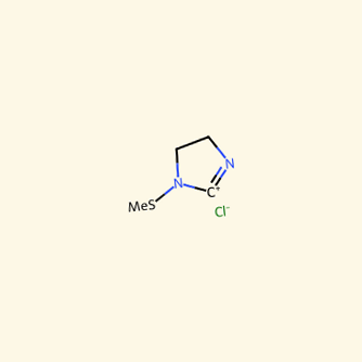 CSN1[C+]=NCC1.[Cl-]